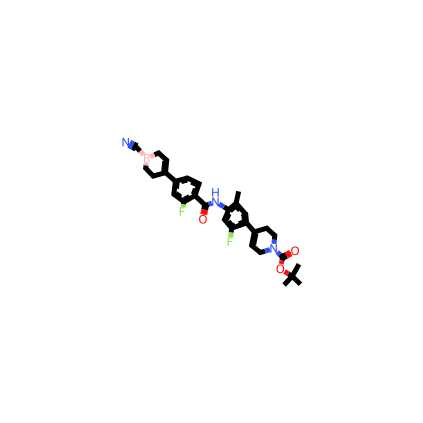 Cc1cc(C2=CCN(C(=O)OC(C)(C)C)CC2)c(F)cc1NC(=O)c1ccc(C2=CCB(C#N)CC2)cc1F